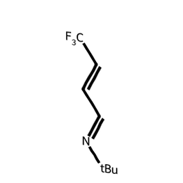 CC(C)(C)N=CC=CC(F)(F)F